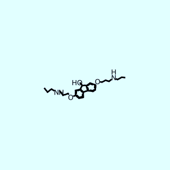 CCCNCCCOc1ccc2c(c1)C(O)c1cc(OCCCNCCC)ccc1-2